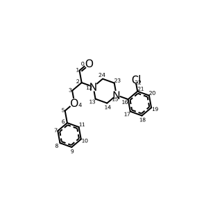 O=CC(COCc1ccccc1)N1CCN(c2ccccc2Cl)CC1